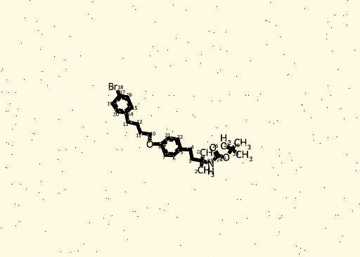 CC(C)(CCc1ccc(OCCCCc2ccc(Br)cc2)cc1)NC(=O)OC(C)(C)C